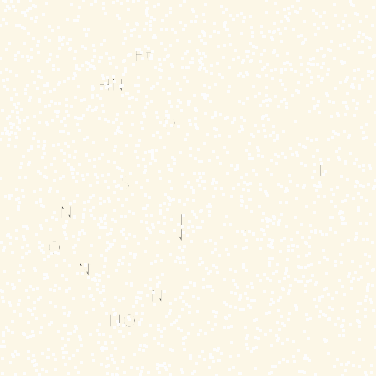 CCNC(=O)CSc1nonc1/C(=N\O)NC1Cc2ccc(F)cc21